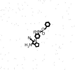 N#Cc1c(N)c2c(n1-c1ccc(NC(=O)OCc3ccccc3)c(F)c1)CCC2